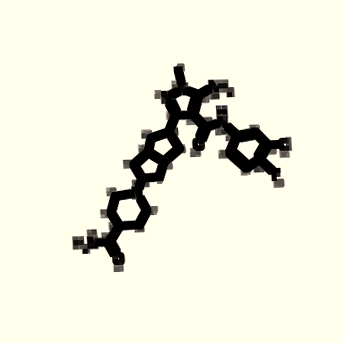 Cn1nc(C2CC3CC(N4CCC(C(N)=O)CC4)CC3C2)c(C(=O)Nc2ccc(F)c(Cl)c2)c1N